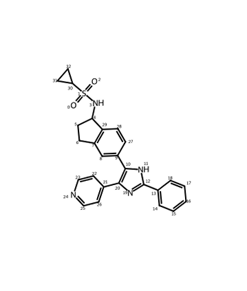 O=S(=O)(NC1CCc2cc(-c3[nH]c(-c4ccccc4)nc3-c3ccncc3)ccc21)C1CC1